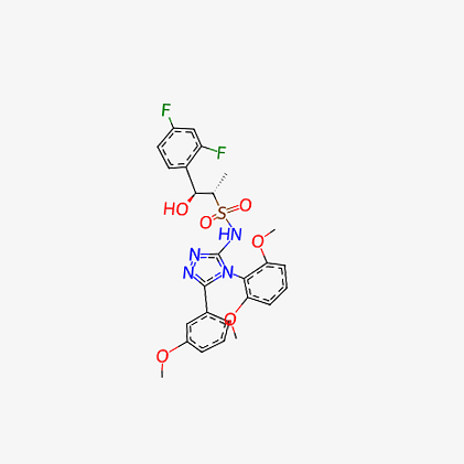 COc1cccc(-c2nnc(NS(=O)(=O)[C@@H](C)[C@@H](O)c3ccc(F)cc3F)n2-c2c(OC)cccc2OC)c1